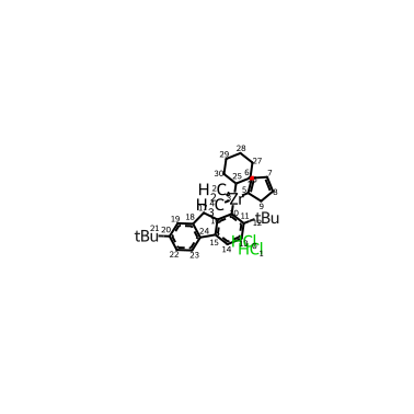 Cl.Cl.[CH2]=[Zr]([CH3])([C]1=CC=CC1)([c]1c(C(C)(C)C)ccc2c1Cc1cc(C(C)(C)C)ccc1-2)[CH]1CCCCC1